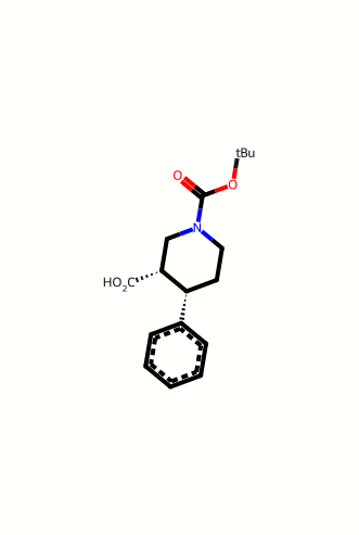 CC(C)(C)OC(=O)N1CC[C@H](c2ccccc2)[C@H](C(=O)O)C1